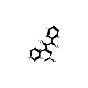 CN(C)C=C(C(=O)C(=O)c1ccccc1)c1ccccc1